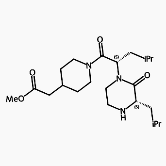 COC(=O)CC1CCN(C(=O)[C@H](CC(C)C)N2CCN[C@@H](CC(C)C)C2=O)CC1